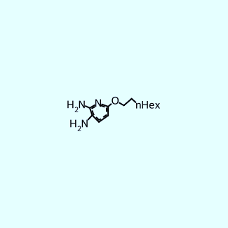 CCCCCCCCOc1ccc(N)c(N)n1